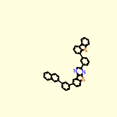 c1cc(-c2ccc3ccccc3c2)cc(-c2ccc3sc4nc(-c5cccc(-c6cccc7c6sc6ccccc67)c5)cnc4c3c2)c1